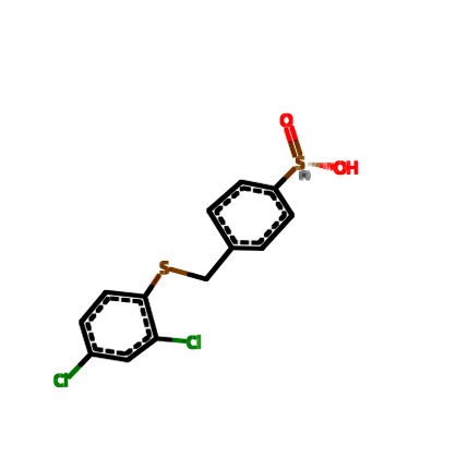 O=[S@](O)c1ccc(CSc2ccc(Cl)cc2Cl)cc1